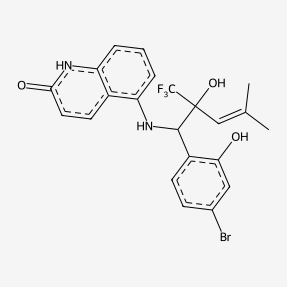 CC(C)=CC(O)(C(Nc1cccc2[nH]c(=O)ccc12)c1ccc(Br)cc1O)C(F)(F)F